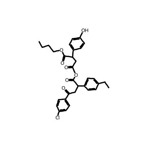 CCCCOC(=O)C(CC(=O)OC(=O)C(CC(=O)c1ccc(Cl)cc1)c1ccc(CC)cc1)c1ccc(O)cc1